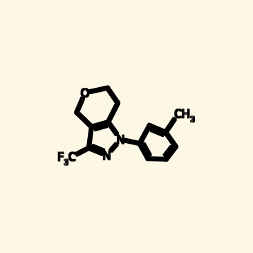 Cc1cccc(-n2nc(C(F)(F)F)c3c2CCOC3)c1